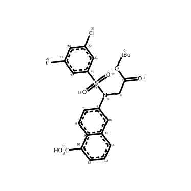 CC(C)(C)OC(=O)CN(c1ccc2c(C(=O)O)cccc2c1)S(=O)(=O)c1cc(Cl)cc(Cl)c1